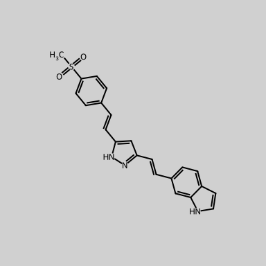 CS(=O)(=O)c1ccc(C=Cc2cc(C=Cc3ccc4cc[nH]c4c3)n[nH]2)cc1